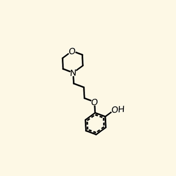 Oc1ccccc1OCCCN1CCOCC1